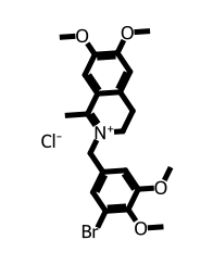 COc1cc2c(cc1OC)C(C)=[N+](Cc1cc(Br)c(OC)c(OC)c1)CC2.[Cl-]